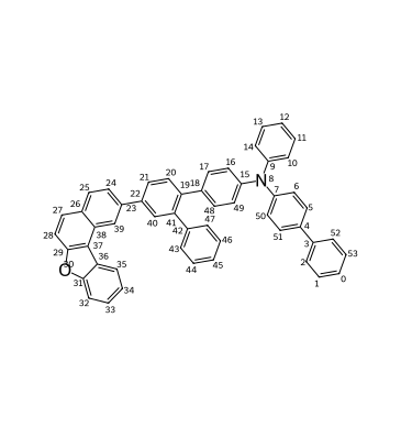 c1ccc(-c2ccc(N(c3ccccc3)c3ccc(-c4ccc(-c5ccc6ccc7oc8ccccc8c7c6c5)cc4-c4ccccc4)cc3)cc2)cc1